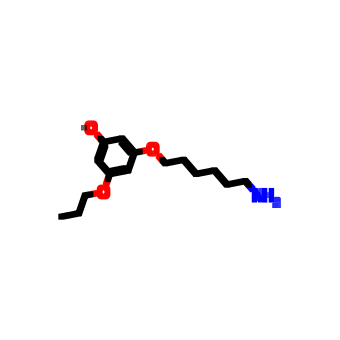 CCCOc1cc([O])cc(OCCCCCCN)c1